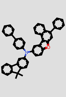 CC1(C)c2ccccc2-c2cc(N(c3ccc(-c4ccccc4)cc3)c3ccc4oc5cc(-c6ccccc6)c6ccccc6c5c4c3)ccc21